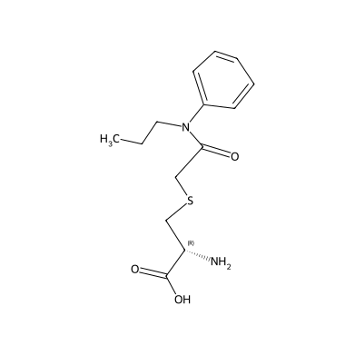 CCCN(C(=O)CSC[C@H](N)C(=O)O)c1ccccc1